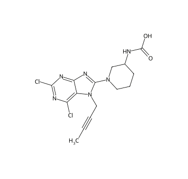 CC#CCn1c(N2CCCC(NC(=O)O)C2)nc2nc(Cl)nc(Cl)c21